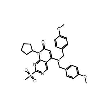 COc1ccc(CN(Cc2ccc(OC)cc2)c2cc(=O)n(C3CCCC3)c3nc(S(C)(=O)=O)ncc23)cc1